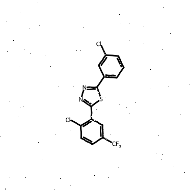 FC(F)(F)c1ccc(Cl)c(-c2nnc(-c3cccc(Cl)c3)s2)c1